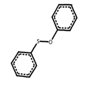 [c]1ccc(OSc2ccccc2)cc1